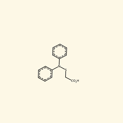 O=C(O)CSN(c1ccccc1)c1ccccc1